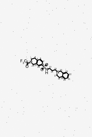 O=C(N1CCc2ccc(S(=O)(=O)NCCCN3CCc4ccccc4C3)cc2C1)C(F)(F)F